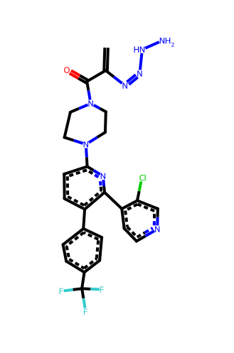 C=C(/N=N\NN)C(=O)N1CCN(c2ccc(-c3ccc(C(F)(F)F)cc3)c(-c3ccncc3Cl)n2)CC1